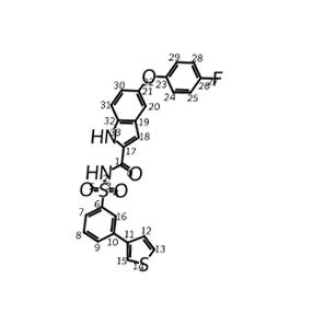 O=C(NS(=O)(=O)c1cccc(-c2ccsc2)c1)c1cc2cc(Oc3ccc(F)cc3)ccc2[nH]1